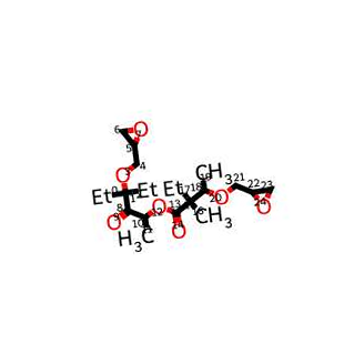 CCC(CC)(OCC1CO1)C(=O)C(C)OC(=O)C(C)(CC)C(C)OCC1CO1